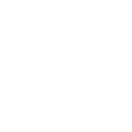 C=CCCCC(OC(=O)C(C)OC)C(C)=O